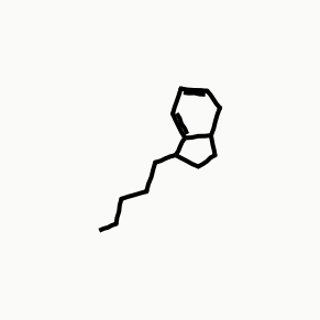 CCCCCC1CCC2CC=CC=C21